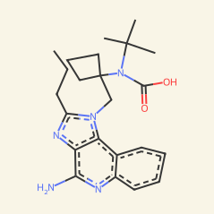 CCCc1nc2c(N)nc3ccccc3c2n1CC1(N(C(=O)O)C(C)(C)C)CCC1